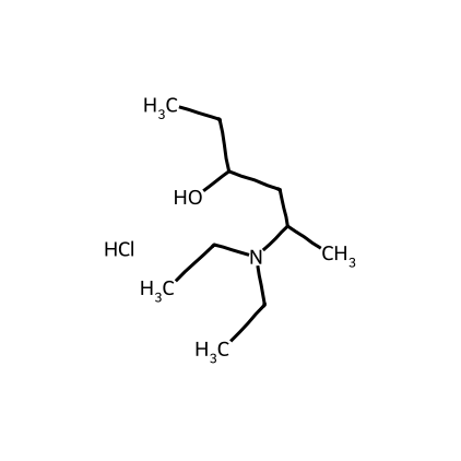 CCC(O)CC(C)N(CC)CC.Cl